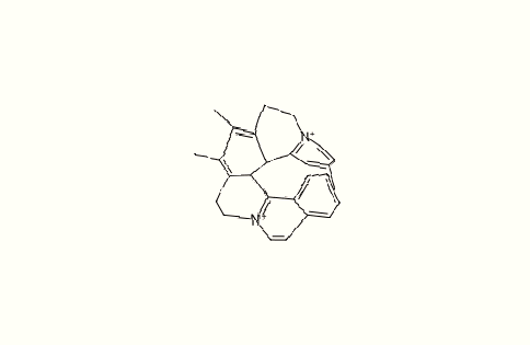 CC1=C2CC[n+]3ccc(C)cc3C2C2C(=C1C)CC[n+]1ccc3ccccc3c12